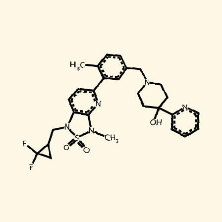 Cc1ccc(CN2CCC(O)(c3ccccn3)CC2)cc1-c1ccc2c(n1)N(C)S(=O)(=O)N2CC1CC1(F)F